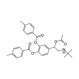 CC(=O)OC(CNC(C)(C)C)c1ccc(OC(=O)c2ccc(C)cc2)c(OC(=O)c2ccc(C)cc2)c1